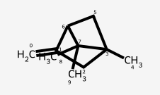 C=C1CC2(C)CC1C2(C)C